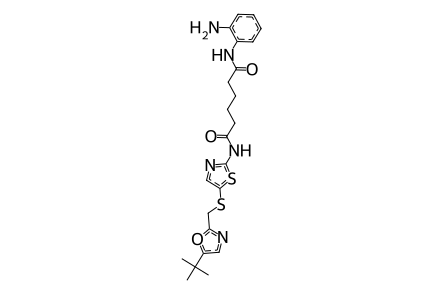 CC(C)(C)c1cnc(CSc2cnc(NC(=O)CCCCC(=O)Nc3ccccc3N)s2)o1